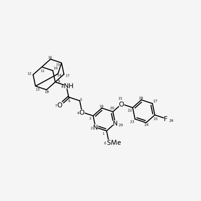 CSc1nc(OCC(=O)NC23CC4CC(CC(C4)C2)C3)cc(Oc2ccc(F)cc2)n1